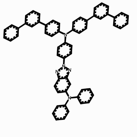 c1ccc(-c2cccc(-c3ccc(N(c4ccc(-c5cccc(-c6ccccc6)c5)cc4)c4ccc(-n5nc6ccc(N(c7ccccc7)c7ccccc7)cc6n5)cc4)cc3)c2)cc1